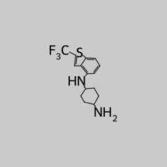 N[C@H]1CC[C@@H](Nc2cccc3sc(C(F)(F)F)cc23)CC1